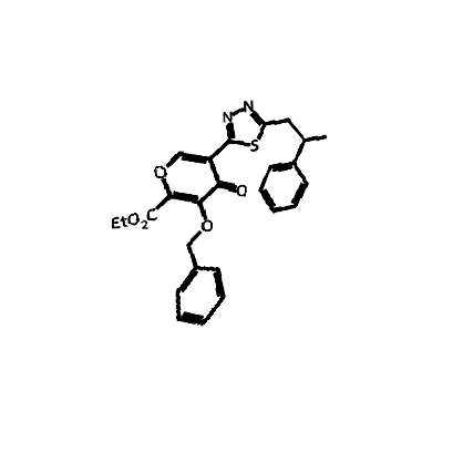 CCOC(=O)c1occ(-c2nnc(CC(C)c3ccccc3)s2)c(=O)c1OCc1ccccc1